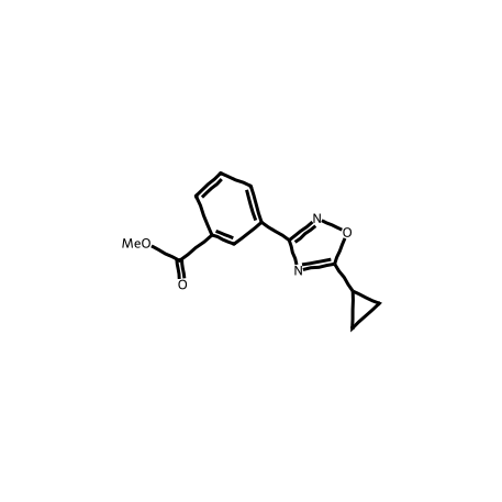 COC(=O)c1cccc(-c2noc(C3CC3)n2)c1